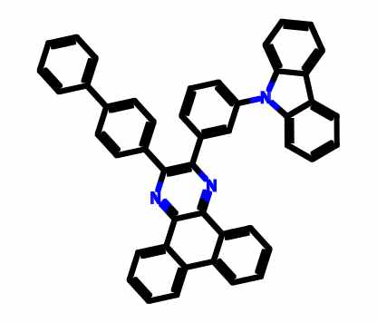 c1ccc(-c2ccc(-c3nc4c5ccccc5c5ccccc5c4nc3-c3cccc(-n4c5ccccc5c5ccccc54)c3)cc2)cc1